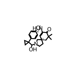 CC1(C)C[C@@]2(C=C(N)C1=O)CCN(C(O)C1(c3ccc(Cl)cc3)CC1)C2